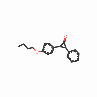 CCCCOc1ccc(C2C(=O)C2c2ccccc2)cc1